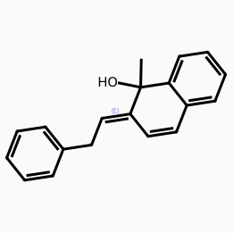 CC1(O)/C(=C/Cc2ccccc2)C=Cc2ccccc21